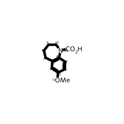 COc1ccc2c(c1)CCCCN2C(=O)O